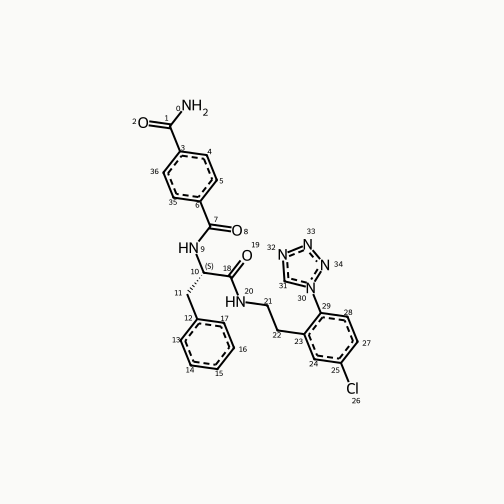 NC(=O)c1ccc(C(=O)N[C@@H](Cc2ccccc2)C(=O)NCCc2cc(Cl)ccc2-n2cnnn2)cc1